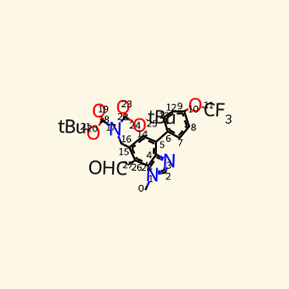 Cn1cnc2c(-c3ccc(OC(F)(F)F)cc3)cc(CN(C(=O)OC(C)(C)C)C(=O)OC(C)(C)C)c(C=O)c21